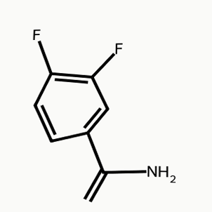 C=C(N)c1ccc(F)c(F)c1